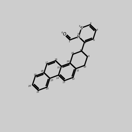 O=CN1SC=CC=C1C1CCc2ccc3c(ccc4ccccc43)c2C1